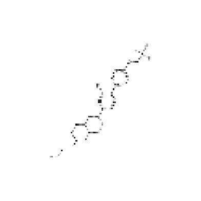 CCCCC1CCC2CC(c3ccc(-c4ccc(OCC(F)(F)F)cc4)c(F)c3)CCC2C1